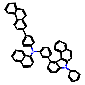 c1ccc(-n2c3cccc(-c4cccc(N(c5ccc(-c6ccc7c(ccc8ccccc87)c6)cc5)c5cccc6ccccc56)c4)c3c3c4ccccc4ccc32)cc1